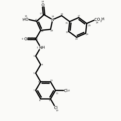 O=C(NCCCc1ccc(Cl)c(Cl)c1)C1=C(O)C(=O)N(Cc2cccc(C(=O)O)c2)C1